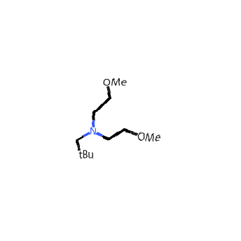 [CH2]C(C)(C)CN(CCOC)CCOC